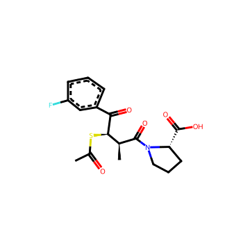 CC(=O)S[C@@H](C(=O)c1cccc(F)c1)[C@H](C)C(=O)N1CCC[C@H]1C(=O)O